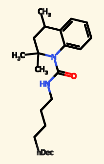 CCCCCCCCCCCCCCNC(=O)N1c2ccccc2C(C)CC1(C)C